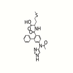 CSCCC(NC(=O)c1ccc(N(C(C)=O)c2c[nH]cn2)cc1-c1ccccc1)C(=O)O